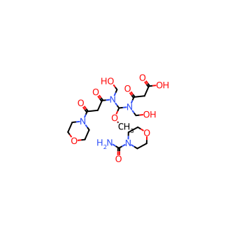 COC(N(CO)C(=O)CC(=O)O)N(CO)C(=O)CC(=O)N1CCOCC1.NC(=O)N1CCOCC1